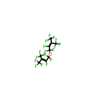 FC(=C(C(F)(F)F)C(F)(F)F)C(F)(F)OC(F)(F)C(F)=C(C(F)(F)F)C(F)(F)F